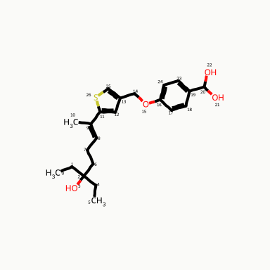 CCC(O)(CC)CCC=C(C)c1cc(COc2ccc(C(O)O)cc2)cs1